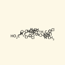 Cc1nn(C(C)c2ccc(Cl)cc2Cl)c2nc(C3=CCC(N4CC(CC(c5ccc(Cl)cc5Cl)n5nc(C)c6ncc(N7CCC(C8CCCN(CCC(=O)O)C8)C(C)C7)nc65)CC4CO)CC3)cnc12